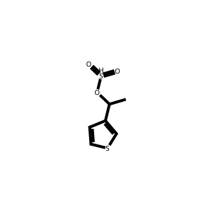 CC(O[SH](=O)=O)c1ccsc1